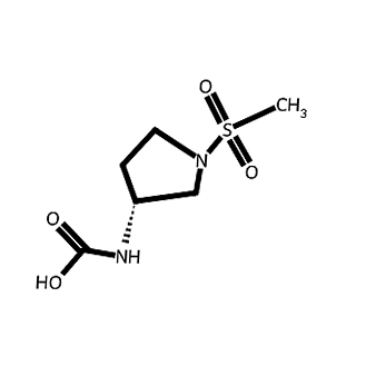 CS(=O)(=O)N1CC[C@@H](NC(=O)O)C1